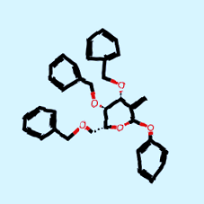 C=C1C(Oc2ccccc2)O[C@H](COCc2ccccc2)[C@H](OCc2ccccc2)[C@@H]1OCc1ccccc1